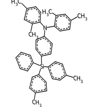 Cc1ccc([Si](c2ccccc2)(c2ccc(C)cc2)c2ccc(N(c3ccc(C)cc3C)c3ccc(C)cc3C)cc2)cc1